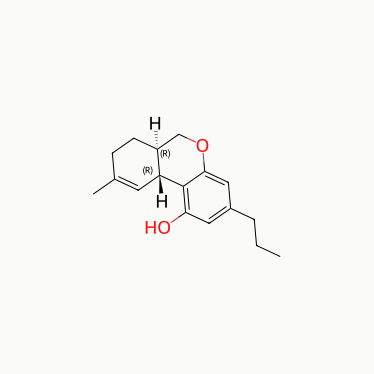 CCCc1cc(O)c2c(c1)OC[C@@H]1CCC(C)=C[C@@H]21